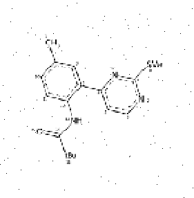 CSc1nccc(-c2cc(C)ccc2NC(=O)C(C)(C)C)n1